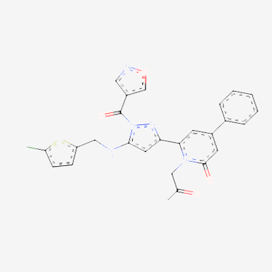 O=C(O)C(=O)Cn1c(-c2cc(NCc3ccc(Cl)s3)n(C(=O)c3cnoc3)n2)cc(-c2ccccc2)cc1=O